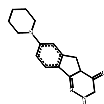 O=C1CNN=C2c3ccc(N4CCCCC4)cc3CC12